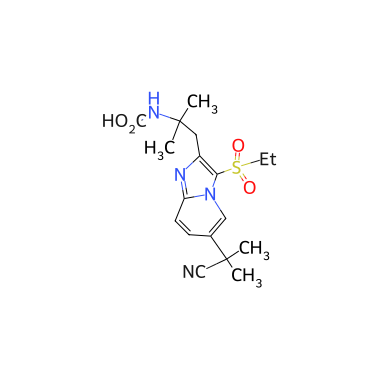 CCS(=O)(=O)c1c(CC(C)(C)NC(=O)O)nc2ccc(C(C)(C)C#N)cn12